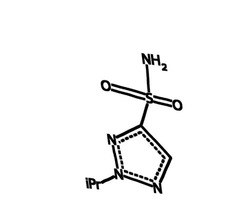 CC(C)n1ncc(S(N)(=O)=O)n1